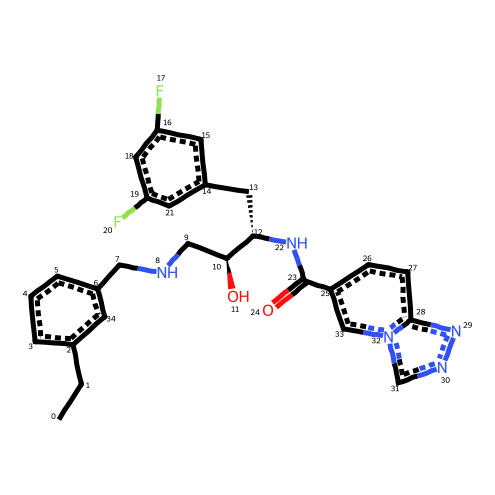 CCc1cccc(CNC[C@H](O)[C@H](Cc2cc(F)cc(F)c2)NC(=O)c2ccc3nncn3c2)c1